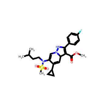 COC(=O)C1=C(c2ccc(F)cc2)NN2C=C(N(CCC(C)C)S(C)(=O)=O)C(C3CC3)=CC12